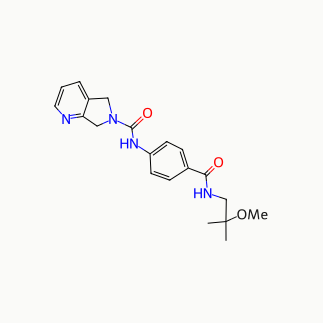 COC(C)(C)CNC(=O)c1ccc(NC(=O)N2Cc3cccnc3C2)cc1